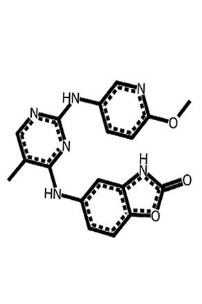 COc1ccc(Nc2ncc(C)c(Nc3ccc4oc(=O)[nH]c4c3)n2)cn1